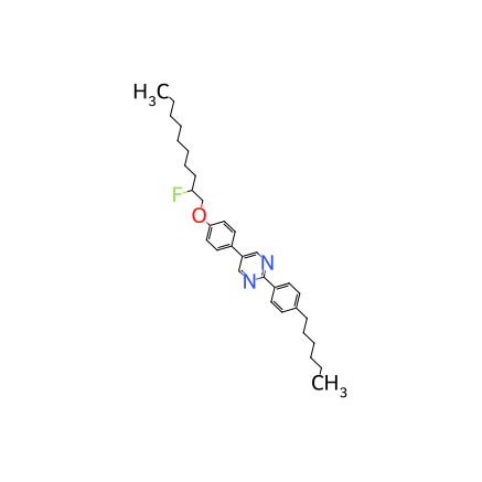 CCCCCCCCC(F)COc1ccc(-c2cnc(-c3ccc(CCCCCC)cc3)nc2)cc1